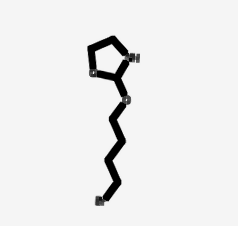 BrCCCCOC1NCCO1